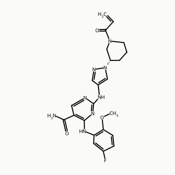 C=CC(=O)N1CCC[C@H](n2cc(Nc3ncc(C(N)=O)c(Nc4cc(F)ccc4OC)n3)cn2)C1